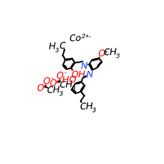 CC(=O)[O-].CC(=O)[O-].CCCc1ccc(O)c(C=Nc2ccc(OC)cc2N=Cc2cc(CCC)ccc2O)c1.[Co+2]